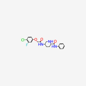 O=C(COc1ccc(Cl)c(F)c1)NC1CCC(C(=O)Nc2ccccc2)NC1